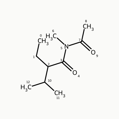 CCC(C(=O)N(C)C(C)=O)C(C)C